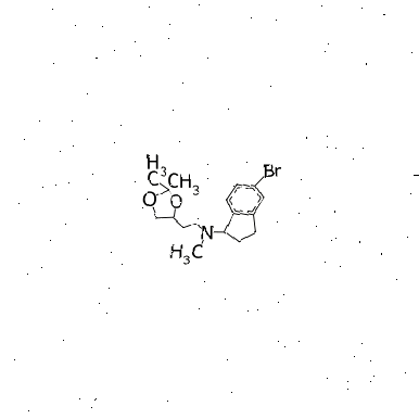 CN(CCC1COC(C)(C)O1)C1CCc2cc(Br)ccc21